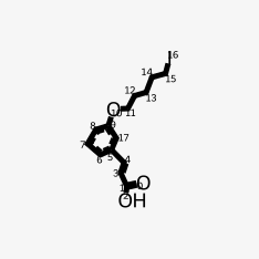 O=C(O)/C=C/c1cccc(OCCCCCI)c1